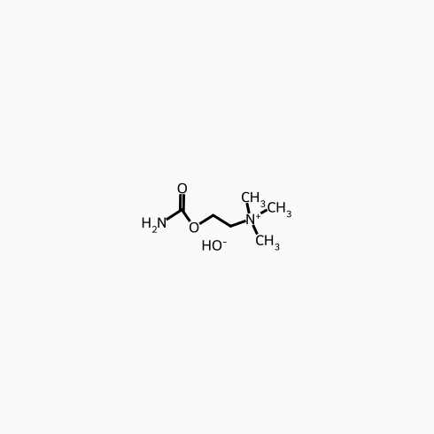 C[N+](C)(C)CCOC(N)=O.[OH-]